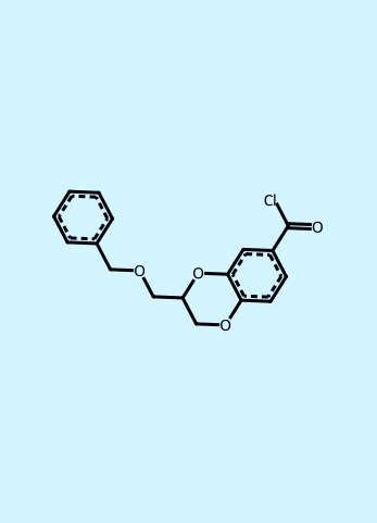 O=C(Cl)c1ccc2c(c1)OC(COCc1ccccc1)CO2